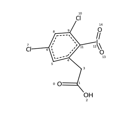 O=C(O)Cc1cc(Cl)cc(Cl)c1I(=O)=O